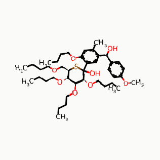 CCCCOC[C@H]1SC(O)(c2cc(C(O)c3ccc(OC)cc3)c(C)cc2OCCCC)[C@H](OCCCC)[C@@H](OCCCC)[C@@H]1OCCCC